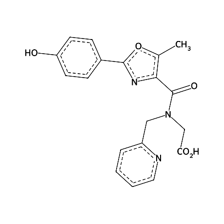 Cc1oc(-c2ccc(O)cc2)nc1C(=O)N(CC(=O)O)Cc1ccccn1